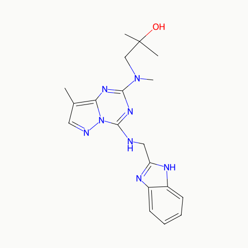 Cc1cnn2c(NCc3nc4ccccc4[nH]3)nc(N(C)CC(C)(C)O)nc12